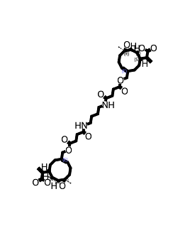 C=C1C(=O)O[C@H]2[C@H]1CC/C(COC(=O)CCC(=O)NCCCCNC(=O)CCC(=O)OC/C1=C/CC[C@@]3(C)O[C@H]3[C@H]3OC(=O)C(=C)[C@@H]3CC1)=C\CC[C@@]1(C)O[C@@H]21